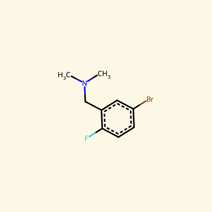 CN(C)Cc1cc(Br)ccc1F